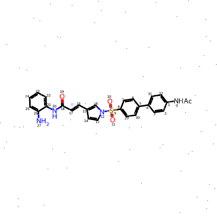 CC(=O)Nc1ccc(-c2ccc(S(=O)(=O)n3ccc(/C=C/C(=O)Nc4ccccc4N)c3)cc2)cc1